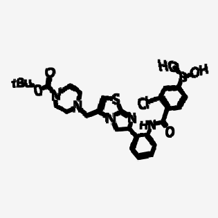 CC(C)(C)OC(=O)N1CCN(CC2=CSC3=NC(c4ccccc4NC(=O)c4ccc(B(O)O)cc4Cl)CN23)CC1